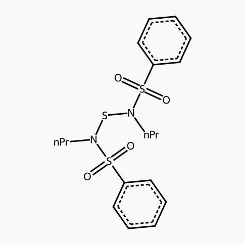 CCCN(SN(CCC)S(=O)(=O)c1ccccc1)S(=O)(=O)c1ccccc1